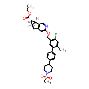 CCOC(=O)[C@H]1[C@@H]2Cc3cc(OCc4cc(-c5ccc(C6CCN(S(C)(=O)=O)CC6)cc5)c(C)cc4F)ncc3[C@@H]21